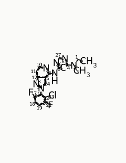 CCN(C)c1cc(Nc2nccc3nn(-c4c(F)ccc(F)c4Cl)cc23)ncn1